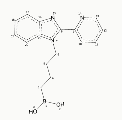 OB(O)CCCCn1c(-c2ccccn2)nc2ccccc21